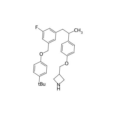 CC(Cc1cc(F)cc(COc2ccc(C(C)(C)C)cc2)c1)c1ccc(OCC2CNC2)cc1